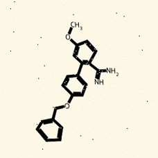 COc1ccc(C(=N)N)c(-c2ccc(OCc3ccccc3)cc2)c1